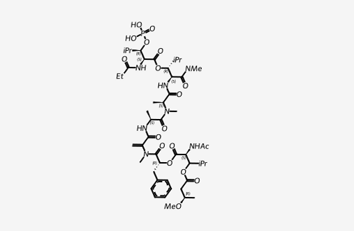 C=C(C(=O)N[C@@H](C)C(=O)N(C)[C@@H](C)C(=O)N[C@H](C(=O)NC)[C@H](OC(=O)[C@@H](NC(=O)CC)[C@H](OP(=O)(O)O)C(C)C)C(C)C)N(C)C(=O)[C@@H](Cc1ccccc1)OC(=O)[C@@H](NC(C)=O)C(OC(=O)C[C@@H](C)OC)C(C)C